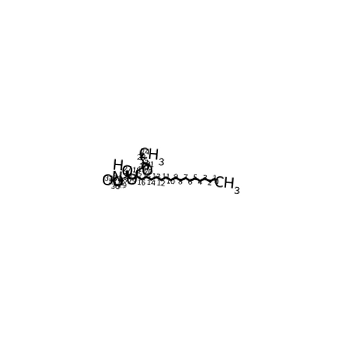 CCCCCCCCCCCCCCCCCC(C[C@@H]1OC[C@@H]1CC)OC(=O)[C@@H]1CCC(=O)N1